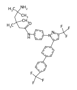 CC(C)(N)CC(C)(C)CC(=O)Nc1ccc(-n2nc(C(F)(F)F)cc2-c2ccc(-c3ccc(C(F)(F)F)cc3)cc2)cc1